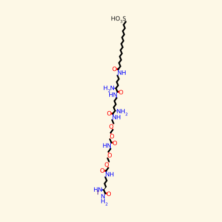 NC(=O)[C@H](CCCCNC(=O)COCCOCCNC(=O)COCCOCCNC(=O)[C@@H](N)CCCCNC(=O)[C@@H](N)CCCCNC(=O)CCCCCCCCCCCCCCCS(=O)(=O)O)NI